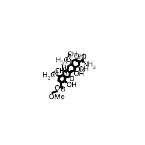 COCCOC(=O)c1cc(N(C)C)c2c(c1O)C(=O)C1=C(O)[C@]3(O)C(O)C(C(N)=O)=C(O)[C@@H](N(C)C)[C@@H]3C[C@@H]1C2